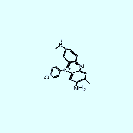 Cc1cc2nc3ccc(N(C)C)cc3[n+](-c3ccccc3)c2cc1N.[Cl-]